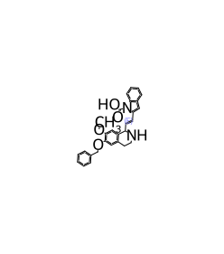 COc1cc2c(cc1OCc1ccccc1)CCNC2/C=C/c1cc2ccccc2n1C(=O)O